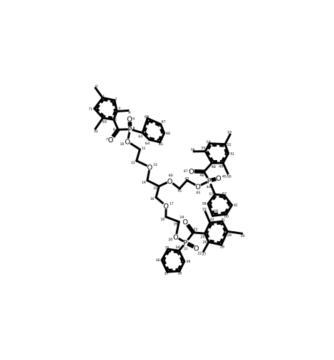 Cc1cc(C)c(C(=O)P(=O)(OCCOCC(COCCOP(=O)(C(=O)c2c(C)cc(C)cc2C)c2ccccc2)OCCOP(=O)(C(=O)c2c(C)cc(C)cc2C)c2ccccc2)c2ccccc2)c(C)c1